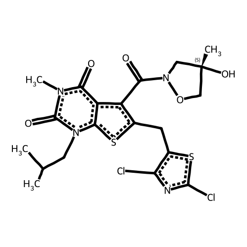 CC(C)Cn1c(=O)n(C)c(=O)c2c(C(=O)N3C[C@](C)(O)CO3)c(Cc3sc(Cl)nc3Cl)sc21